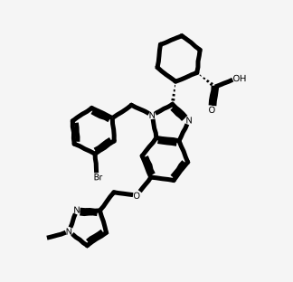 Cn1ccc(COc2ccc3nc([C@@H]4CCCC[C@@H]4C(=O)O)n(Cc4cccc(Br)c4)c3c2)n1